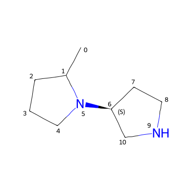 CC1CCCN1[C@H]1CCNC1